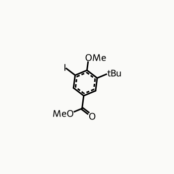 COC(=O)c1cc(I)c(OC)c(C(C)(C)C)c1